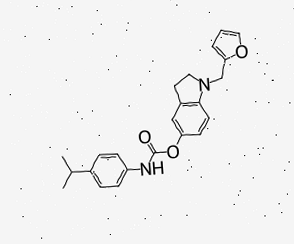 CC(C)c1ccc(NC(=O)Oc2ccc3c(c2)CCN3Cc2ccco2)cc1